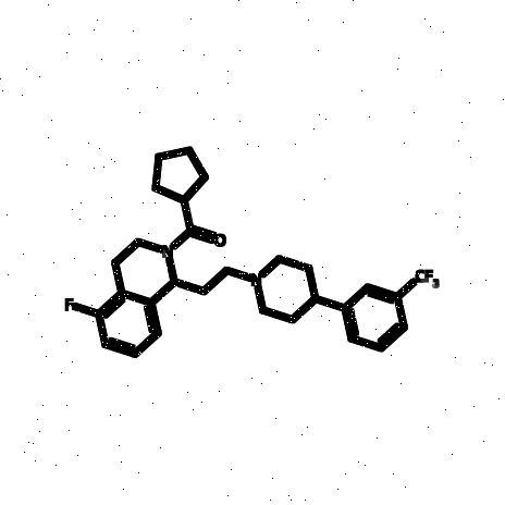 O=C(C1CCCC1)N1CCc2c(F)cccc2C1CCN1CCC(c2cccc(C(F)(F)F)c2)CC1